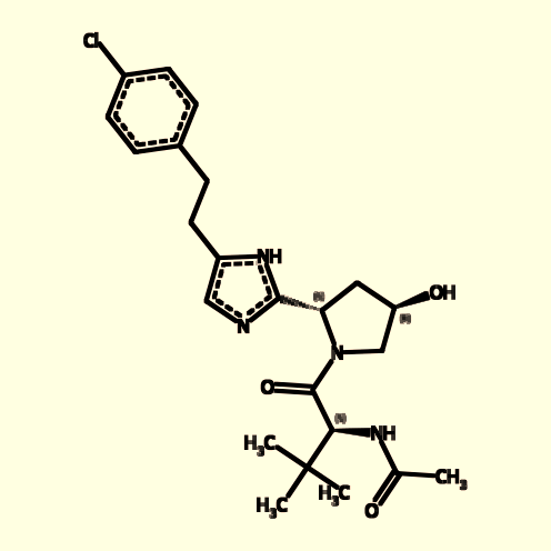 CC(=O)N[C@H](C(=O)N1C[C@H](O)C[C@H]1c1ncc(CCc2ccc(Cl)cc2)[nH]1)C(C)(C)C